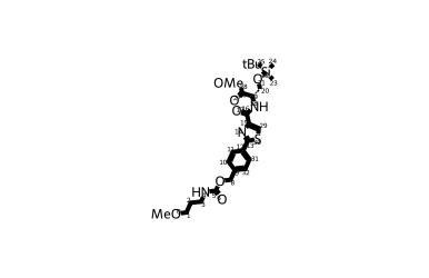 COCCCNC(=O)OCc1ccc(-c2nc(C(=O)N[C@@H](CO[Si](C)(C)C(C)(C)C)C(=O)OC)cs2)cc1